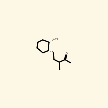 CC(=O)C(C)CC[C@@H]1CCCC[C@@H]1O